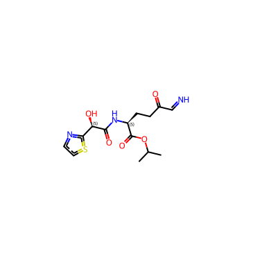 CC(C)OC(=O)[C@H](CCC(=O)C=N)NC(=O)[C@H](O)c1nccs1